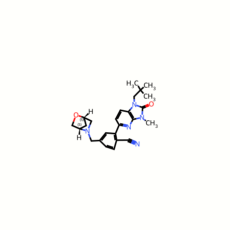 Cn1c(=O)n(CC(C)(C)C)c2ccc(-c3cc(CN4C[C@@H]5C[C@H]4CO5)ccc3C#N)nc21